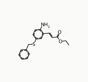 CCOC(=O)C=Cc1cc(SCc2ccccc2)ccc1N